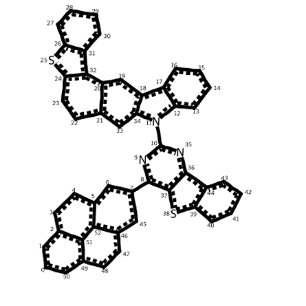 c1cc2ccc3cc(-c4nc(-n5c6ccccc6c6cc7c(ccc8sc9ccccc9c87)cc65)nc5c4sc4ccccc45)cc4ccc(c1)c2c34